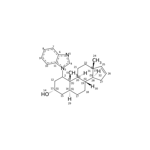 C[C@]12C(n3cnc4ccccc43)C[C@@H](O)C[C@@H]1CC[C@@H]1[C@@H]2CC[C@]2(C)C=CC[C@@H]12